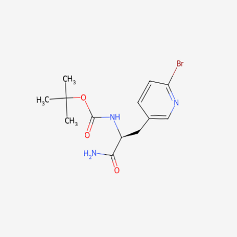 CC(C)(C)OC(=O)N[C@@H](Cc1ccc(Br)nc1)C(N)=O